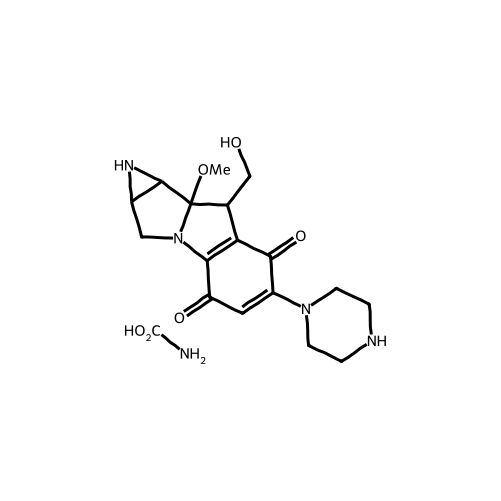 COC12C(CO)C3=C(C(=O)C=C(N4CCNCC4)C3=O)N1CC1NC12.NC(=O)O